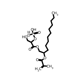 C=C(C)C(=O)OC(CCCCCCCCCC)COC(=O)C(CO)OP(=O)(O)O